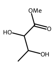 COC(=O)C(O)C(C)O